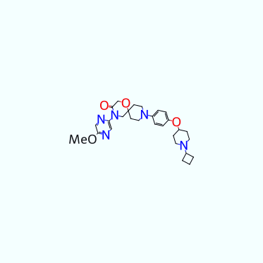 COc1cnc(N2CC3(CCN(c4ccc(OC5CCN(C6CCC6)CC5)cc4)CC3)OCC2=O)cn1